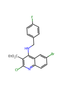 CCOC(=O)c1c(Cl)nc2ccc(Br)cc2c1NCc1ccc(F)cc1